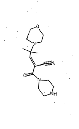 CC(C)(C=C(C#N)C(=O)N1CCNCC1)N1CCOCC1